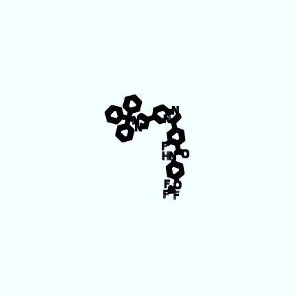 O=C(Nc1ccc(OC(F)(F)F)cc1)c1ccc(-c2cnc3ccc(-c4cnn(C(c5ccccc5)(c5ccccc5)c5ccccc5)c4)cn23)cc1F